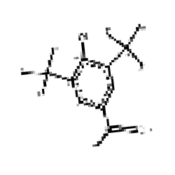 [CH2]C(=O)c1cc(C(C)(C)C)c(O)c(C(C)(C)C)c1